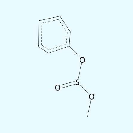 COS(=O)Oc1ccccc1